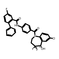 O=C(Nc1ccc(C(=O)N2CCC(F)(F)[C@H](O)c3cc(Cl)ccc32)cc1)c1cc(F)ccc1-c1ccccc1